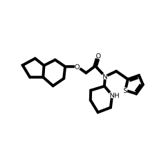 O=C(COC1CCC2CCCC2C1)N(Cc1cccs1)C1CCCCN1